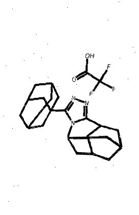 C1C2CC3CC1CC(C2)n1c3nnc1C12CC3CC(CC(C3)C1)C2.O=C(O)C(F)(F)F